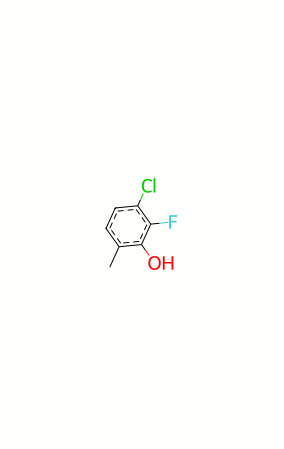 Cc1ccc(Cl)c(F)c1O